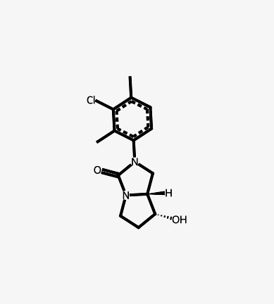 Cc1ccc(N2C[C@@H]3[C@H](O)CCN3C2=O)c(C)c1Cl